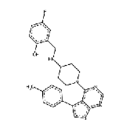 Cc1ccc(-c2csc3ncnc(N4CCC(NCc5cc(F)ccc5O)CC4)c23)cc1